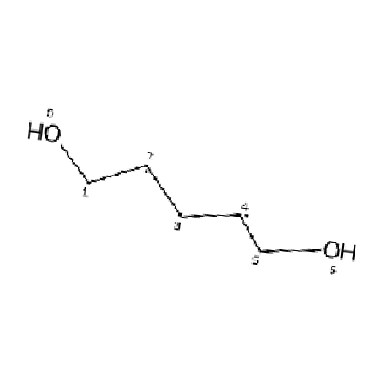 OC[CH]C[CH]CO